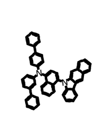 c1ccc(-c2ccc(N(c3cccc(-c4ccccc4)c3)c3ccc(-n4c5ccccc5c5cc6ccccc6cc54)c4ccccc34)cc2)cc1